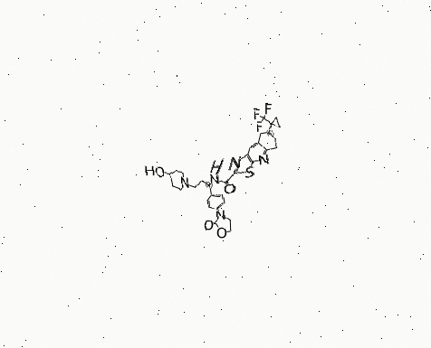 O=C(N[C@H](CCN1CCC(O)CC1)c1ccc(N2CCOC2=O)cc1)c1nc2cc3c(nc2s1)CC[C@H](C1(C(F)(F)F)CC1)C3